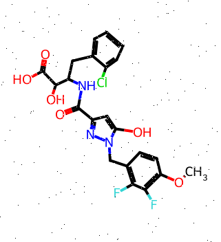 COc1ccc(Cn2nc(C(=O)NC(Cc3ccccc3Cl)C(O)C(=O)O)cc2O)c(F)c1F